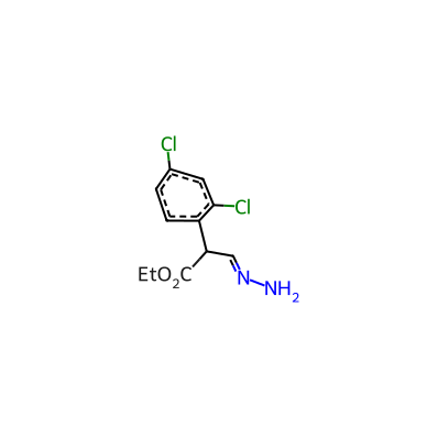 CCOC(=O)C(C=NN)c1ccc(Cl)cc1Cl